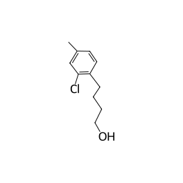 Cc1ccc(CCCCO)c(Cl)c1